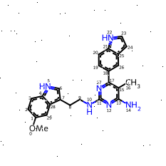 COc1ccc2[nH]cc(CCNc3nc(N)c(C)c(-c4ccc5[nH]ccc5c4)n3)c2c1